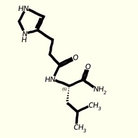 CC(C)C[C@H](NC(=O)CCC1=CNCN1)C(N)=O